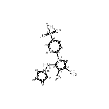 CS(=O)(=O)c1ccc(-n2nc(C(F)(F)F)c(C#N)c2Nn2cnnc2)nc1